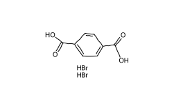 Br.Br.O=C(O)c1ccc(C(=O)O)cc1